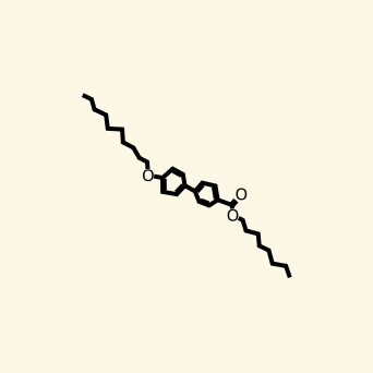 CCCCCCCCCCOc1ccc(-c2ccc(C(=O)OCCCCCCCC)cc2)cc1